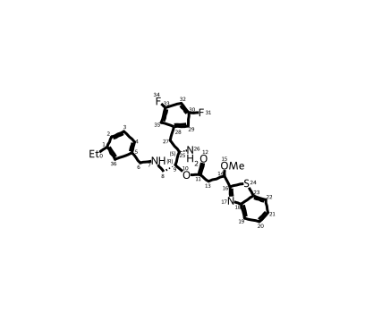 CCc1cccc(CNC[C@@H](OC(=O)CC(OC)c2nc3ccccc3s2)[C@@H](N)Cc2cc(F)cc(F)c2)c1